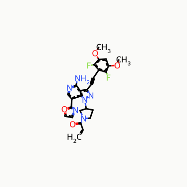 C=CC(=O)N1CCC(n2nc(C#Cc3c(F)c(OC)cc(OC)c3F)c3c(N)ncc(-c4ncco4)c32)C1